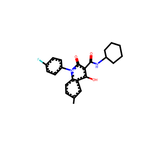 Cc1ccc2c(c1)c(O)c(C(=O)NC1CCCCC1)c(=O)n2-c1ccc(F)cc1